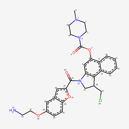 CN1CCN(C(=O)Oc2cc3c(c4ccccc24)C(CCl)CN3C(=O)c2cc3cc(OCCN)ccc3o2)CC1